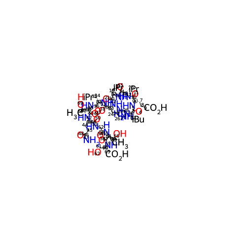 CC[C@H](C)[C@H](N)C(=O)N[C@@H](CCC(=O)O)C(=O)N[C@H](C(=O)N[C@@H](CC(C)C)C(=O)N[C@@H](Cc1c[nH]cn1)C(=O)N[C@@H](CC(C)C)C(=O)N[C@H](C(=O)N[C@@H](CCC(N)=O)C(=O)NCC(=O)N[C@H](C(=O)N[C@@H](CO)C(=O)O)[C@@H](C)O)[C@@H](C)O)C(C)C